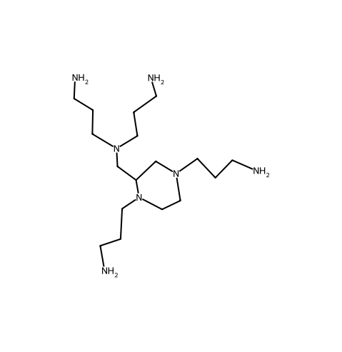 NCCCN(CCCN)CC1CN(CCCN)CCN1CCCN